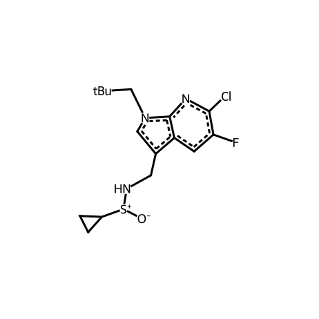 CC(C)(C)Cn1cc(CN[S+]([O-])C2CC2)c2cc(F)c(Cl)nc21